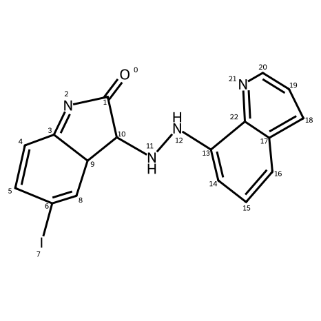 O=C1N=C2C=CC(I)=CC2C1NNc1cccc2cccnc12